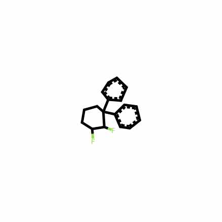 FC1CCCC(c2ccccc2)(c2ccccc2)C1F